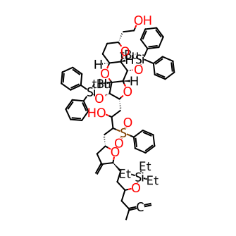 C=C=C(C)CC(CC[C@@H]1O[C@@H](CC(C(O)C[C@H]2O[C@H]3[C@@H](O[Si](c4ccccc4)(c4ccccc4)C(C)(C)C)[C@H]4O[C@@H](CCO)CC[C@@H]4O[C@H]3[C@H]2O[Si](c2ccccc2)(c2ccccc2)C(C)(C)C)S(=O)(=O)c2ccccc2)CC1=C)O[Si](CC)(CC)CC